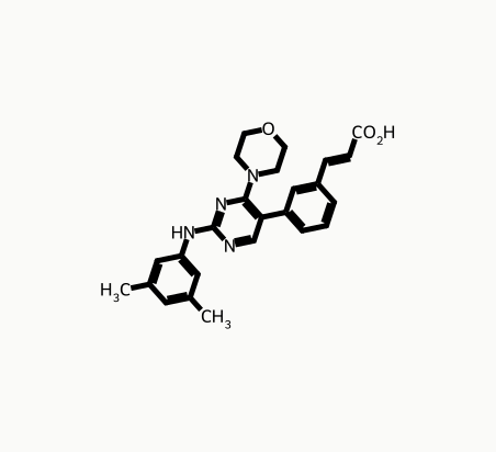 Cc1cc(C)cc(Nc2ncc(-c3cccc(C=CC(=O)O)c3)c(N3CCOCC3)n2)c1